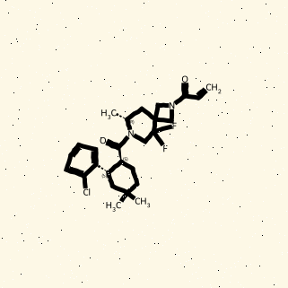 C=CC(=O)N1CC2(C[C@@H](C)N(C(=O)[C@H]3CCC(C)(C)C[C@@H]3c3ccccc3Cl)CC2(F)F)C1